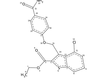 CCOC(=O)c1sc2cccc(Cl)c2c1COc1ccc(C(N)=O)cc1